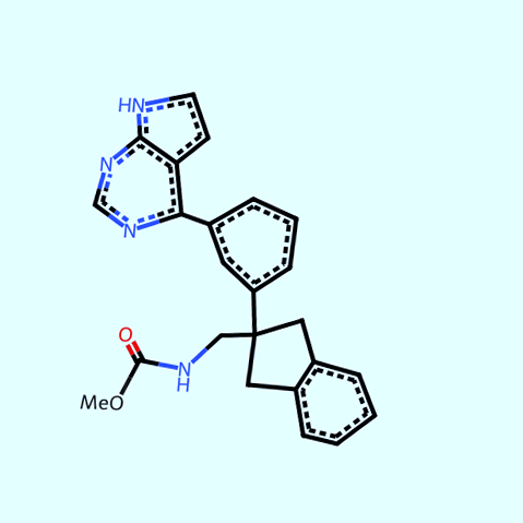 COC(=O)NCC1(c2cccc(-c3ncnc4[nH]ccc34)c2)Cc2ccccc2C1